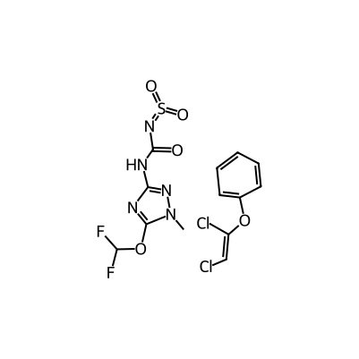 ClC=C(Cl)Oc1ccccc1.Cn1nc(NC(=O)N=S(=O)=O)nc1OC(F)F